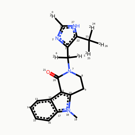 [2H]c1nc(C([2H])([2H])N2CCc3c(c4ccccc4n3C)C2=O)c(C([2H])([2H])[2H])[nH]1